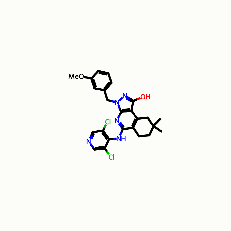 COc1cccc(Cn2nc(O)c3c4c(c(Nc5c(Cl)cncc5Cl)nc32)CCC(C)(C)C4)c1